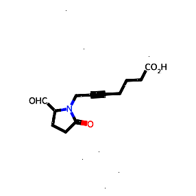 O=CC1CCC(=O)N1CC#CCCCC(=O)O